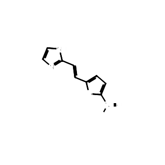 O=[N+]([O-])c1ccc(C=Cc2ncc[nH]2)o1